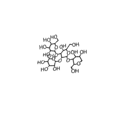 CC1OC(OC2C(OC3C(CO)OCC(O)C3O)OC(CO)C(O)C2OC2OC(CO)C(O)C(O)C2O)C(O)C(O)C1O